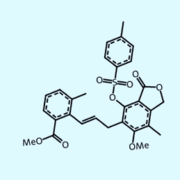 COC(=O)c1cccc(C)c1/C=C/Cc1c(OC)c(C)c2c(c1OS(=O)(=O)c1ccc(C)cc1)C(=O)OC2